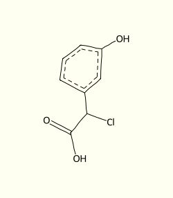 O=C(O)C(Cl)c1cccc(O)c1